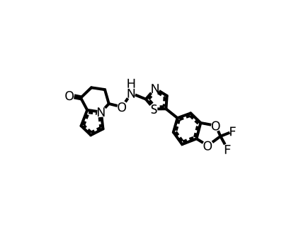 O=C1CCC(ONc2ncc(-c3ccc4c(c3)OC(F)(F)O4)s2)n2cccc21